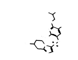 COc1nc(OCC(F)F)c(F)cc1NS(=O)(=O)c1cnc2n1CCC(C)C2